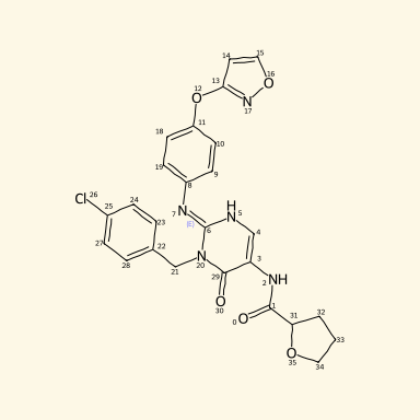 O=C(Nc1c[nH]/c(=N\c2ccc(Oc3ccon3)cc2)n(Cc2ccc(Cl)cc2)c1=O)C1CCCO1